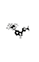 CC1(C)OB(c2ccc3[nH]nc(-c4cnn(C(F)F)c4)c3c2)OC1(C)C